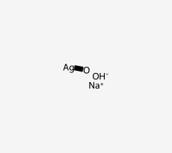 [Na+].[OH-].[O]=[Ag]